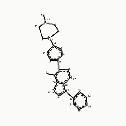 Cc1c(-c2ccc(N3CCN(C)CC3)cc2)cnc2c(-c3ccccc3)coc12